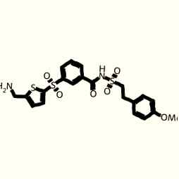 COc1ccc(CCS(=O)(=O)NC(=O)c2cccc(S(=O)(=O)c3ccc(CN)s3)c2)cc1